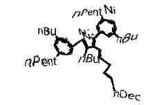 CCCCCCCCCCCCCCC=CC1=C(c2cc(CCCC)cc(CCCCC)c2)[N+](=[N-])C(c2cc(CCCC)cc(CCCCC)c2)=C1CCCC.[Ni]